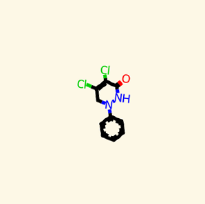 O=C1NN(c2ccccc2)CC(Cl)=C1Cl